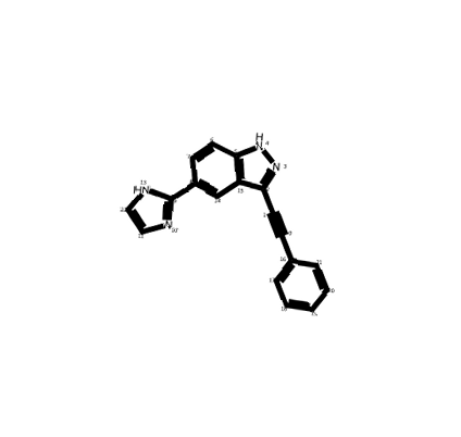 C(#Cc1n[nH]c2ccc(-c3ncc[nH]3)cc12)c1ccccc1